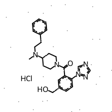 CN(CCc1ccccc1)C1CCN(C(=O)c2cc(CO)ccc2-n2cncn2)CC1.Cl